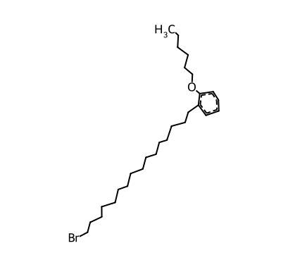 CCCCCCOc1ccccc1CCCCCCCCCCCCCCCCBr